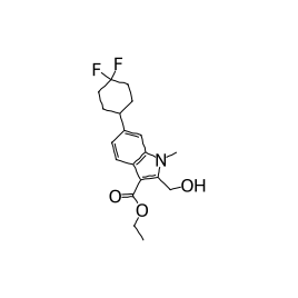 CCOC(=O)c1c(CO)n(C)c2cc(C3CCC(F)(F)CC3)ccc12